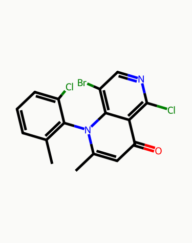 Cc1cccc(Cl)c1-n1c(C)cc(=O)c2c(Cl)ncc(Br)c21